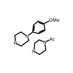 CC(=O)N1CC[N]CC1.COc1ccc(N2CC[N]CC2)cc1